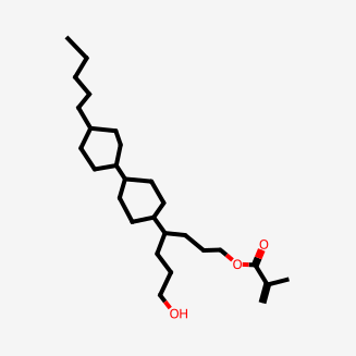 C=C(C)C(=O)OCCCC(CCCO)C1CCC(C2CCC(CCCCC)CC2)CC1